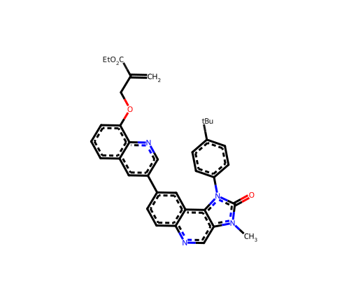 C=C(COc1cccc2cc(-c3ccc4ncc5c(c4c3)n(-c3ccc(C(C)(C)C)cc3)c(=O)n5C)cnc12)C(=O)OCC